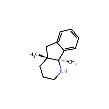 C[C@]12CCCN[C@]1(C)c1ccccc1C2